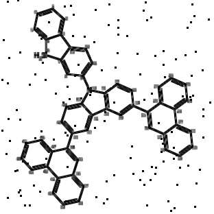 c1ccc2c(c1)[SiH2]c1cc(-n3c4ccc(-c5cc6ccccc6c6ccccc56)cc4c4cc(-c5cc6ccccc6c6ccccc56)ccc43)ccc1-2